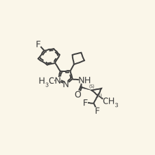 Cn1nc(NC(=O)[C@H]2C[C@]2(C)C(F)F)c(C2CCC2)c1-c1ccc(F)cc1